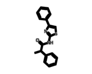 CC(C(=O)Nc1nc(-c2ccccc2)cs1)c1ccccc1